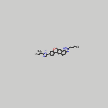 CCC=CCc1nc2ccc3cc4c(cc3c2[nH]1)COc1cc(-c2cnc(C(C)=CCC)[nH]2)ccc1-4